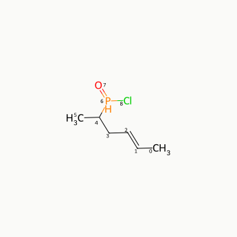 CC=CCC(C)[PH](=O)Cl